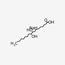 CCCCCCCCC(O)C(O)CCCCCCCC(=O)O.[NaH]